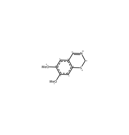 COc1cc2c(cc1OC)SCN=C2